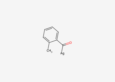 Cc1ccccc1[C](=O)[Ag]